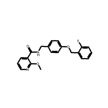 COc1ncccc1C(=O)NCc1ccc(OCc2ccccc2F)cc1